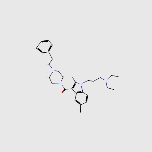 CCN(CC)CCCn1c(C)c(C(=O)N2CCN(CCc3ccccc3)CC2)c2cc(C)ccc21